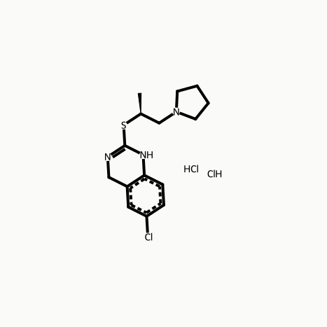 C[C@@H](CN1CCCC1)SC1=NCc2cc(Cl)ccc2N1.Cl.Cl